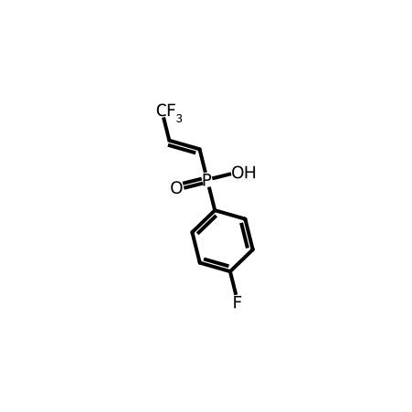 O=P(O)(C=CC(F)(F)F)c1ccc(F)cc1